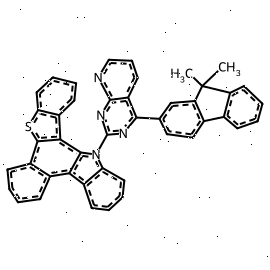 CC1(C)c2ccccc2-c2ccc(-c3nc(-n4c5ccccc5c5c6ccccc6c6sc7ccccc7c6c54)nc4ncccc34)cc21